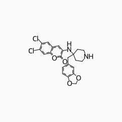 O=c1oc2cc(Cl)c(Cl)cc2cc1NC1(Cc2ccc3c(c2)OCO3)CCNCC1